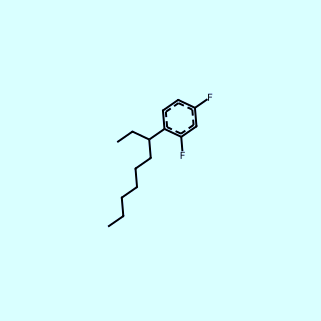 CCCCCCC(CC)c1ccc(F)cc1F